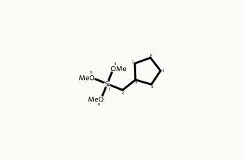 CO[Si]([CH]C1CCCC1)(OC)OC